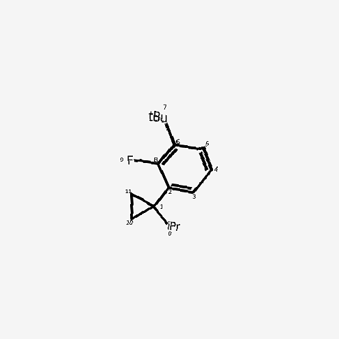 CC(C)C1(c2cccc(C(C)(C)C)c2F)CC1